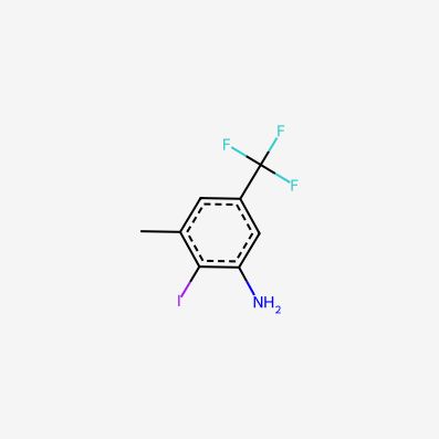 Cc1cc(C(F)(F)F)cc(N)c1I